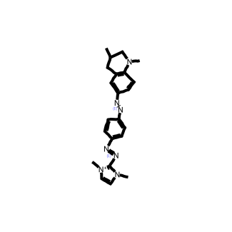 CC1Cc2cc(/N=N/c3ccc(/N=N/c4n(C)cc[n+]4C)cc3)ccc2N(C)C1